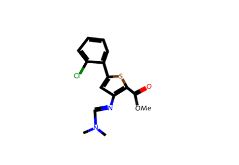 COC(=O)c1sc(-c2ccccc2Cl)cc1N=CN(C)C